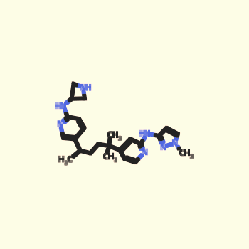 CC(CCC(C)(C)c1ccnc(Nc2ccn(C)n2)c1)c1ccc(NC2CNC2)nc1